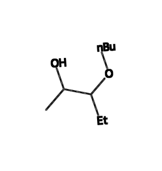 CCCCOC(CC)C(C)O